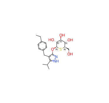 CCc1ccc(Cc2c(O[C@@H]3S[C@H](CO)[C@@H](O)[C@H](O)[C@H]3O)n[nH]c2C(C)C)cc1